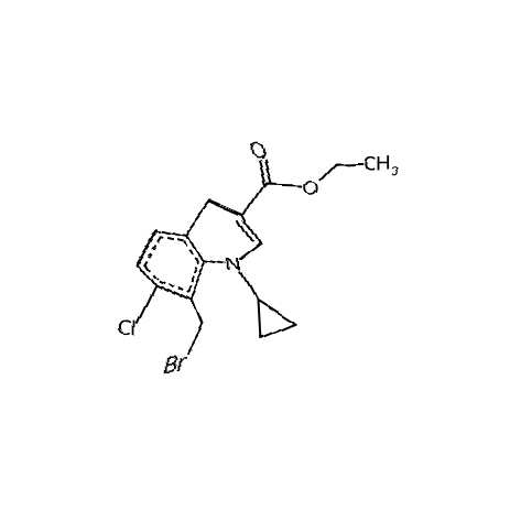 CCOC(=O)C1=CN(C2CC2)c2c(ccc(Cl)c2CBr)C1